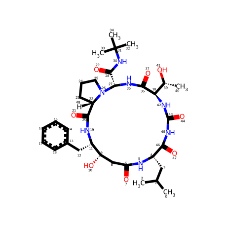 CC(C)C[C@@H]1NC(=O)C[C@H](O)[C@H](Cc2ccccc2)NC(=O)[C@@H]2CCCN2[C@H](C(=O)NC(C)(C)C)NC(=O)[C@@H]([C@@H](C)O)NC(=O)NC1=O